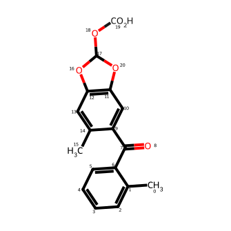 Cc1ccccc1C(=O)c1cc2c(cc1C)OC(OC(=O)O)O2